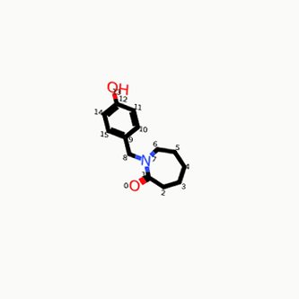 O=C1CCCCCN1Cc1ccc(O)cc1